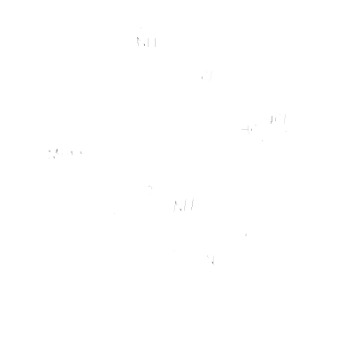 COc1cc(N)c(Cl)cc1C(=O)NCN1CCCC1.Cl.Cl